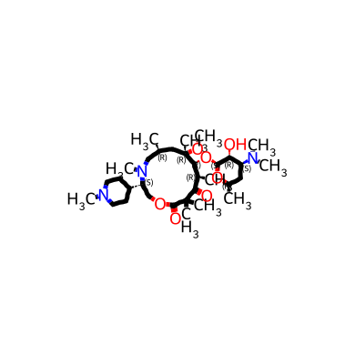 CO[C@]1(C)C[C@@H](C)CN(C)[C@@H](C2CCN(C)CC2)COC(=O)C(C)(C)C(=O)[C@H](C)[C@H]1O[C@@H]1O[C@H](C)C[C@H](N(C)C)[C@H]1O